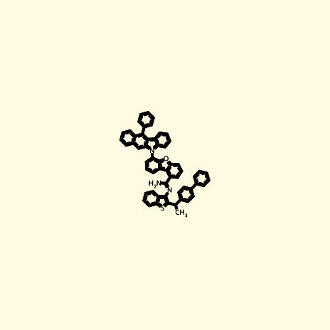 CC(c1ccc(-c2ccccc2)cc1)c1sc2ccccc2c1/N=C(\N)c1cccc2oc3c(-n4c5ccccc5c5c(-c6ccccc6)c6ccccc6cc54)cccc3c12